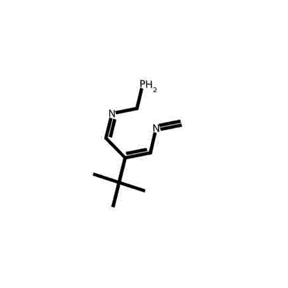 C=N/C=C(\C=N/CP)C(C)(C)C